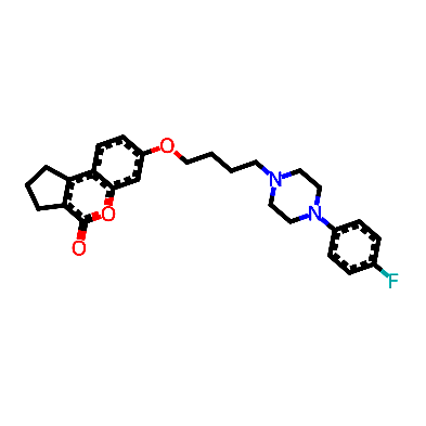 O=c1oc2cc(OCCCCN3CCN(c4ccc(F)cc4)CC3)ccc2c2c1CCC2